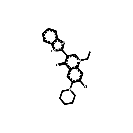 CCn1cc(-c2nc3ccccc3[nH]2)c(=O)c2cc(N3CCCCC3)c(Cl)cc21